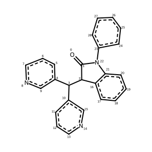 O=C1C(C(c2cccnc2)c2cccnc2)c2ccccc2N1c1ccccc1